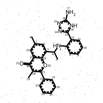 Cc1cc(C(C)Nc2ccccc2-c2nnc(N)[nH]2)c2oc(-c3ccccc3)c(C)c(=O)c2c1